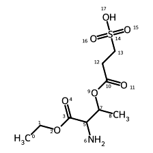 CCOC(=O)C(N)C(C)OC(=O)CCS(=O)(=O)O